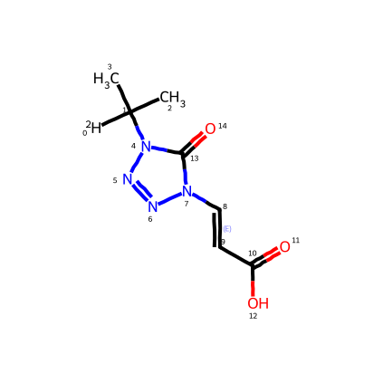 [2H]C(C)(C)n1nnn(/C=C/C(=O)O)c1=O